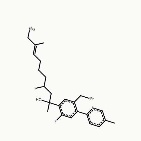 C/C(=C\CCCC(I)CC(C)(O)c1cc(CC(C)C)c(-c2ccc(C)cn2)cc1F)CC(C)(C)C